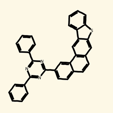 c1ccc(-c2nc(-c3ccccc3)nc(-c3ccc4ccc5cc6sc7ccccc7c6cc5c4c3)n2)cc1